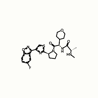 CN[C@@H](C)C(=O)N[C@H](C(=O)N1CCC[C@H]1c1nc(-c2noc3ccc(F)cc23)cs1)C1CCOCC1